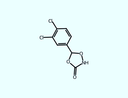 O=C1NOC(c2ccc(Cl)c(Cl)c2)O1